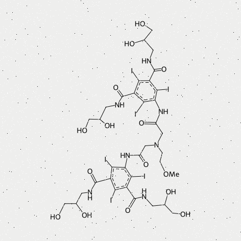 COCCN(CC(=O)Nc1c(I)c(C(=O)NCC(O)CO)c(I)c(C(=O)NCC(O)CO)c1I)CC(=O)Nc1c(I)c(C(=O)NCC(O)CO)c(I)c(C(=O)NCC(O)CO)c1I